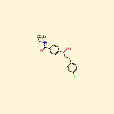 CCOC(=O)CNC(=O)c1ccc(C(O)CCc2ccc(Cl)cc2)cc1